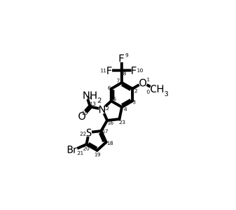 COc1cc2c(cc1C(F)(F)F)N(C(N)=O)C(c1ccc(Br)s1)C2